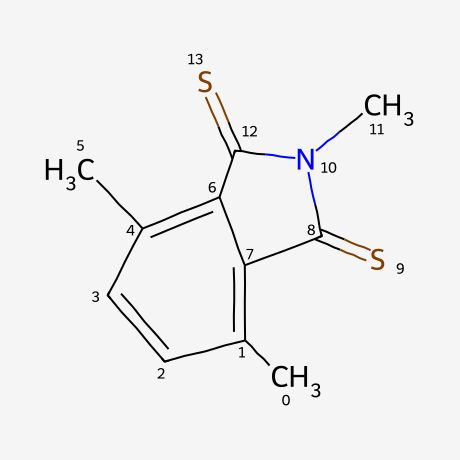 Cc1ccc(C)c2c1C(=S)N(C)C2=S